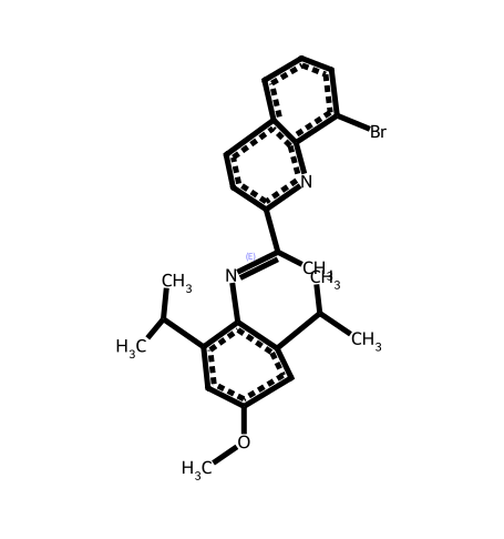 COc1cc(C(C)C)c(/N=C(\C)c2ccc3cccc(Br)c3n2)c(C(C)C)c1